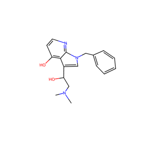 CN(C)CC(O)c1cn(Cc2ccccc2)c2nccc(O)c12